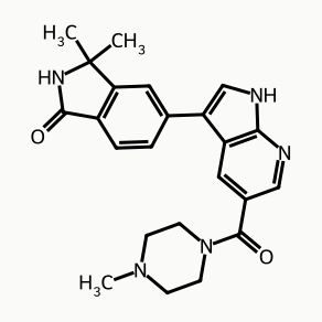 CN1CCN(C(=O)c2cnc3[nH]cc(-c4ccc5c(c4)C(C)(C)NC5=O)c3c2)CC1